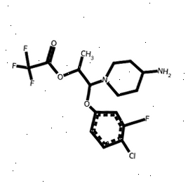 CC(OC(=O)C(F)(F)F)C(Oc1ccc(Cl)c(F)c1)N1CCC(N)CC1